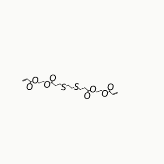 C=CC(=O)OCCOC(=O)CCSCCSCCC(=O)OCCOC(=O)C=C